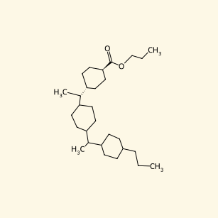 CCCOC(=O)[C@H]1CC[C@H](C(C)C2CCC(C(C)C3CCC(CCC)CC3)CC2)CC1